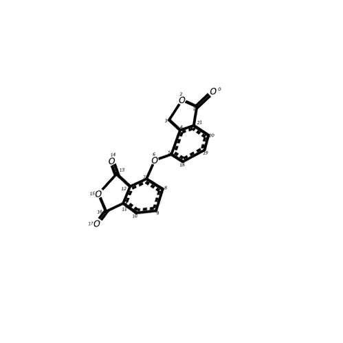 O=C1OCc2c(Oc3cccc4c3C(=O)OC4=O)cccc21